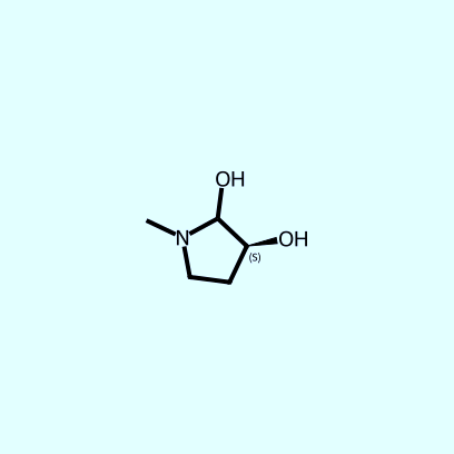 CN1CC[C@H](O)C1O